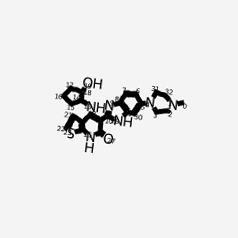 CN1CCN(c2ccc3nc(-c4c(NC5CCCC5O)c5ccsc5[nH]c4=O)[nH]c3c2)CC1